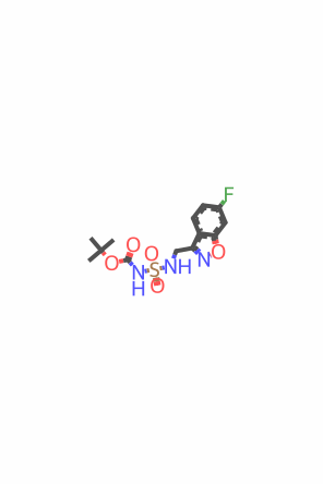 CC(C)(C)OC(=O)NS(=O)(=O)NCc1noc2cc(F)ccc12